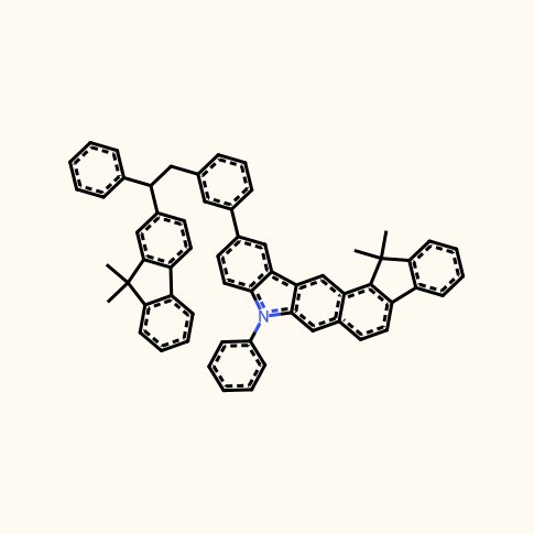 CC1(C)c2ccccc2-c2ccc(C(Cc3cccc(-c4ccc5c(c4)c4cc6c7c(ccc6cc4n5-c4ccccc4)-c4ccccc4C7(C)C)c3)c3ccccc3)cc21